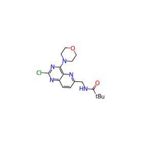 CC(C)(C)C(=O)NCc1ccc2nc(Cl)nc(N3CCOCC3)c2n1